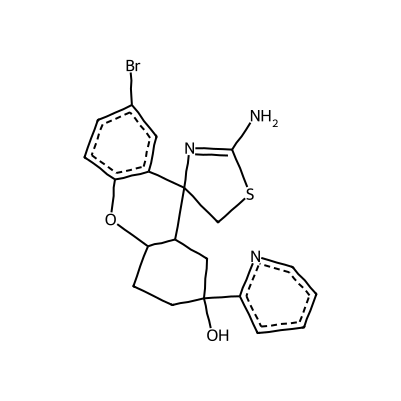 NC1=NC2(CS1)c1cc(Br)ccc1OC1CCC(O)(c3ccccn3)CC12